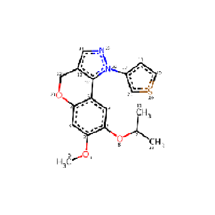 COc1cc2c(cc1OC(C)C)-c1c(cnn1-c1ccsc1)CO2